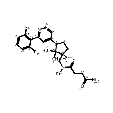 CCN(C[C@@]1(C)CC[C@H](c2cnnc(-c3c(F)cccc3F)c2)C1(C)C)C(=O)CCC(N)=O